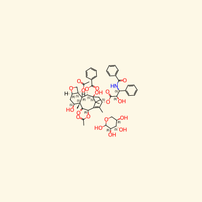 CC(=O)O[C@H]1C(=O)[C@@]2(C)[C@H]([C@H](OC(=O)c3ccccc3)[C@]3(O)C[C@H](OC(=O)[C@H](O)[C@@H](NC(=O)c4ccccc4)c4ccccc4)C(C)=C1C3(C)C)[C@]1(OC(C)=O)CO[C@@H]1C[C@@H]2O.OC1OC[C@@H](O)[C@H](O)[C@H]1O